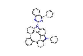 c1ccc(-c2nc(-n3c4cccc5c6ccccc6c6cccc7c6c6c(c54)c3ccc6n7-c3ccccc3)nc3ccccc23)cc1